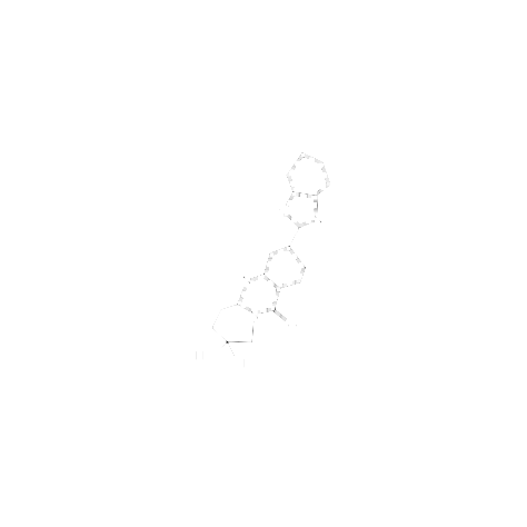 CC1(C)CCc2nc3cc(-c4nc5ccccc5s4)ccc3c(=O)n2C1